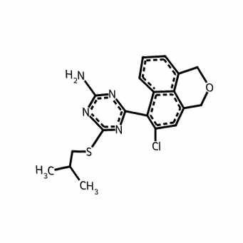 CC(C)CSc1nc(N)nc(-c2c(Cl)cc3c4c(cccc24)COC3)n1